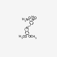 COc1cc2c(cc1OC)CN(CCc1ccc(N[C]=O)c(C(N)=O)c1)CC2